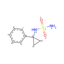 NS(=O)(=O)NC1(c2ccccc2)CC1